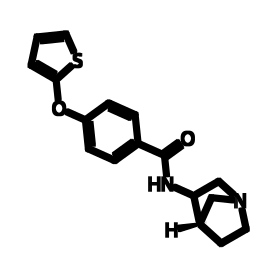 O=C(NC1CN2CC[C@H]1C2)c1ccc(Oc2cccs2)cc1